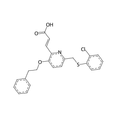 O=C(O)/C=C/c1nc(CSc2ccccc2Cl)ccc1OCCc1ccccc1